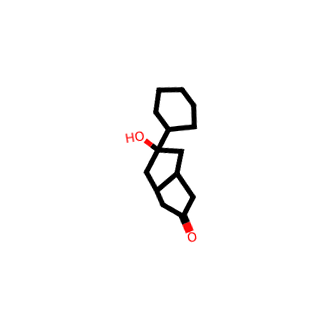 O=C1CC2CC(O)(C3CCCCC3)CC2C1